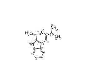 C=Cc1[nH]c2ccccc2c1/C=C(\C)C(C)N